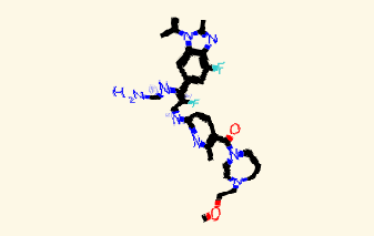 COCCN1CCCN(C(=O)c2ccc(\N=C/C(F)=C(\N=C\N)c3cc(F)c4nc(C)n(C(C)C)c4c3)nc2C)CC1